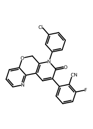 N#Cc1c(F)cccc1-c1cc2c(n(-c3cccc(Cl)c3)c1=O)COc1cccnc1-2